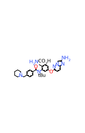 Cc1ccc(Oc2ccc3nc(N)cn3n2)cc1N(C(=O)c1ccc(CN2CCCCC2)cc1)C(C)(C)C.NC(=O)O